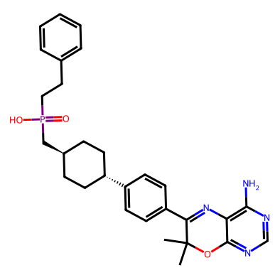 CC1(C)Oc2ncnc(N)c2N=C1c1ccc([C@H]2CC[C@H](CP(=O)(O)CCc3ccccc3)CC2)cc1